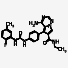 CCNC(=O)c1cn2ncnc(N)c2c1-c1ccc(NC(=O)Nc2cc(C)ccc2F)cc1